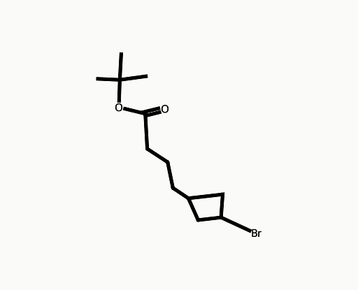 CC(C)(C)OC(=O)CCCC1CC(Br)C1